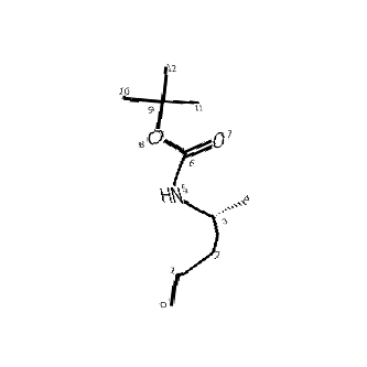 CCC[C@@H](C)NC(=O)OC(C)(C)C